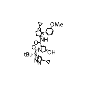 COc1cccc([C@@H]2[C@@H](NC(=O)[C@@H]3C[C@@H](O)CN3C(=O)[C@@H](n3cc(C4CC4)nn3)C(C)(C)C)CCN2C2CC2)c1